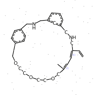 C=C/C1=C\C=C(/C)COCCOCCOCc2ccc(cc2)CNCc2cccc(c2)CNC1